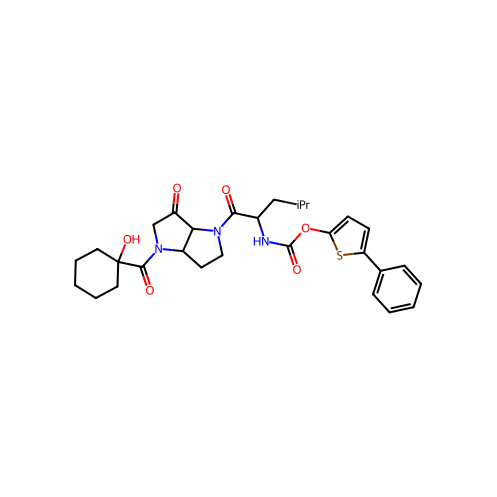 CC(C)CC(NC(=O)Oc1ccc(-c2ccccc2)s1)C(=O)N1CCC2C1C(=O)CN2C(=O)C1(O)CCCCC1